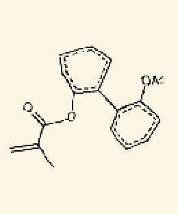 C=C(C)C(=O)Oc1ccccc1-c1ccccc1OC(C)=O